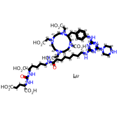 O=C(O)CC[C@H](NC(=O)N[C@@H](CCCCNC(=O)CCCCCCCNc1nc(Nc2ccc(CC3CN(C(=O)O)CCN(CC(=O)O)CCN(CC(=O)O)CCN3CC(=O)O)cc2)nc(N2CCNCC2)n1)C(=O)O)C(=O)O.[Lu]